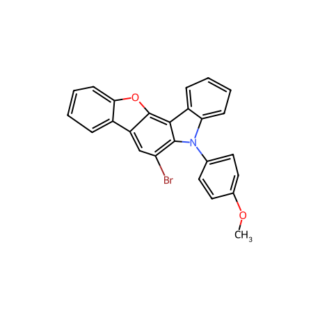 COc1ccc(-n2c3ccccc3c3c4oc5ccccc5c4cc(Br)c32)cc1